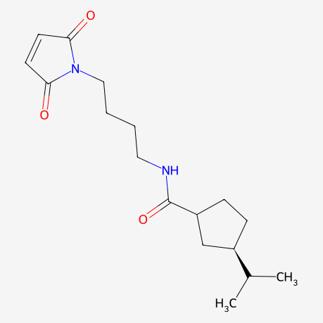 CC(C)[C@@H]1CCC(C(=O)NCCCCN2C(=O)C=CC2=O)C1